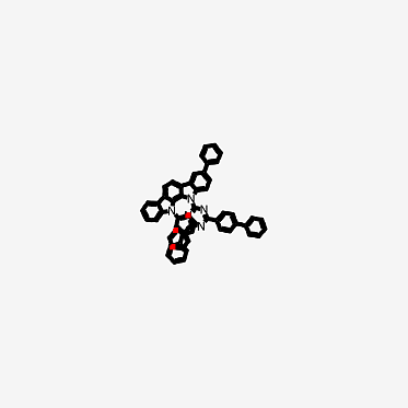 c1ccc(-c2ccc(-c3nc(-c4ccccc4)nc(-n4c5ccc(-c6ccccc6)cc5c5ccc6c7ccccc7n(-c7cccc(-c8ccccc8)c7)c6c54)n3)cc2)cc1